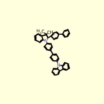 CC1(C)c2ccccc2N(c2ccc(-c3ccc(-n4c5ccccc5c5ccccc54)cc3)cc2)C1c1ccc(-c2ccccc2)cc1